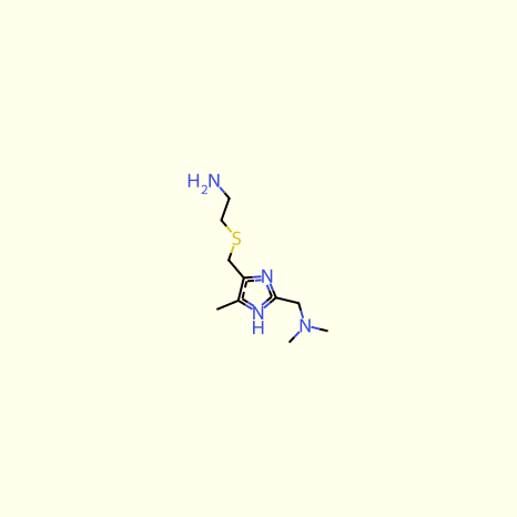 Cc1[nH]c(CN(C)C)nc1CSCCN